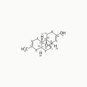 CC1=CC[C@H]2[C@@H](CC[C@@H]3C=C(O)CC[C@]32C)C1